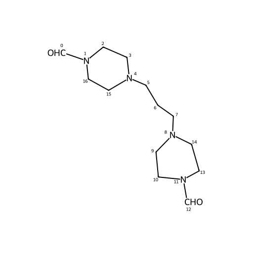 O=CN1CCN(CCCN2CCN(C=O)CC2)CC1